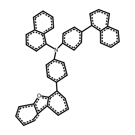 c1ccc2c(-c3ccc(N(c4ccc(-c5cccc6c5oc5ccccc56)cc4)c4cccc5ccccc45)cc3)cccc2c1